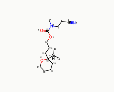 CN(CCC#N)C(=O)OCCCC1([SiH](C)C)CCCCO1